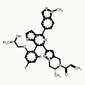 C=CC(=O)N1Cc2cc(-c3nc(-c4ccc5c(cnn5C)c4)c4ccsc4c3-c3c(F)cc(F)cc3OC[C@@H](C)O)nn2C[C@H]1C